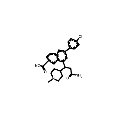 CN1CCC(C(CC(N)=O)c2cc(-c3ccc(Cl)cc3)cc3ccc(C(=O)O)cc23)CC1